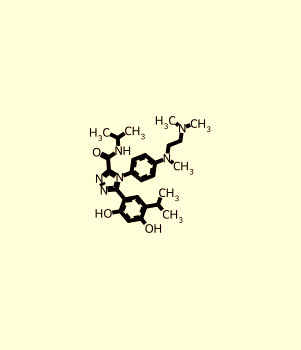 CC(C)NC(=O)c1nnc(-c2cc(C(C)C)c(O)cc2O)n1-c1ccc(N(C)CCN(C)C)cc1